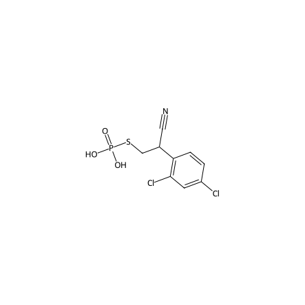 N#CC(CSP(=O)(O)O)c1ccc(Cl)cc1Cl